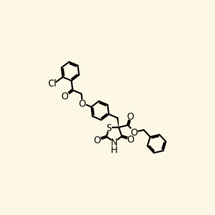 O=C1NC(=O)[C@@](Cc2ccc(OCC(=O)c3ccccc3Cl)cc2)(C(=O)OCc2ccccc2)S1